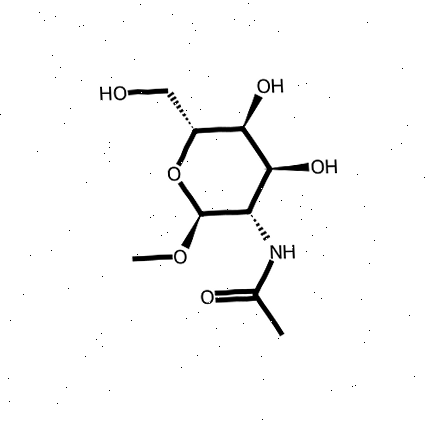 CO[C@H]1O[C@H](CO)[C@@H](O)[C@@H](O)[C@@H]1NC(C)=O